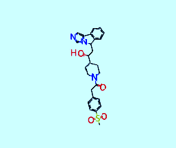 CS(=O)(=O)c1ccc(CC(=O)N2CCC(C(O)CC3c4ccccc4-c4cncn43)CC2)cc1